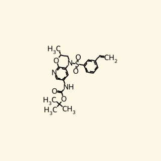 C=Cc1cccc(S(=O)(=O)N2C[C@H](C)Oc3ncc(NC(=O)OC(C)(C)C)cc32)c1